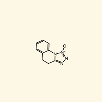 [O-][n+]1nnc2n1-c1ccccc1CC2